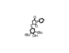 CC(C)(C)c1cc(SC2CC(=O)N(c3ccccc3)C2=O)cc(C(C)(C)C)c1O